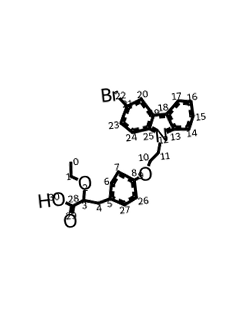 CCOC(Cc1ccc(OCCn2c3ccccc3c3cc(Br)ccc32)cc1)C(=O)O